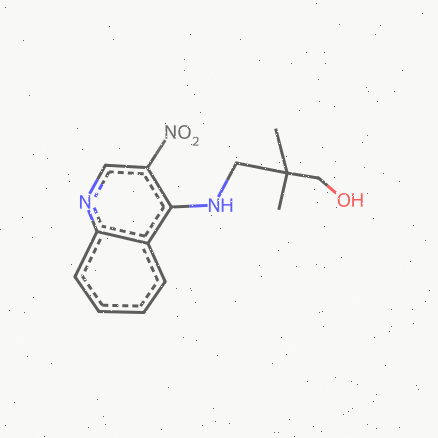 CC(C)(CO)CNc1c([N+](=O)[O-])cnc2ccccc12